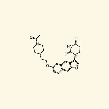 CC(=O)N1CCN(CCOc2ccc3cc4occ([C@@H]5CCC(=O)NC5=O)c4cc3c2)CC1